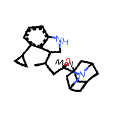 CNC12CC3CC(C1)N(C(=O)CC(C)C1CNc4cccc(C5CC5)c41)C(C3)C2